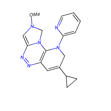 CON1C=C2N=NC3=C(N2C1)N(c1ccccn1)CC(C1CC1)=C3